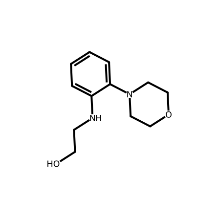 OCCNc1ccccc1N1CCOCC1